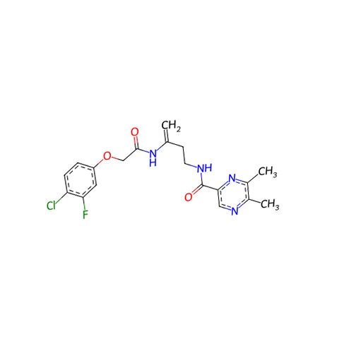 C=C(CCNC(=O)c1cnc(C)c(C)n1)NC(=O)COc1ccc(Cl)c(F)c1